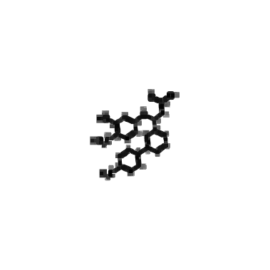 Cc1ccc(-c2cccc(C(C=S(=O)=O)Oc3ccc(C(=O)O)c(O)c3)c2)cc1